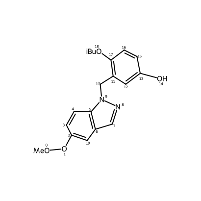 COOc1ccc2c(cnn2Cc2cc(O)ccc2OCC(C)C)c1